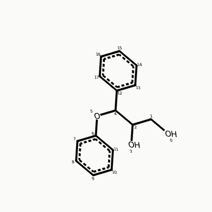 OCC(O)C(Oc1ccccc1)c1ccccc1